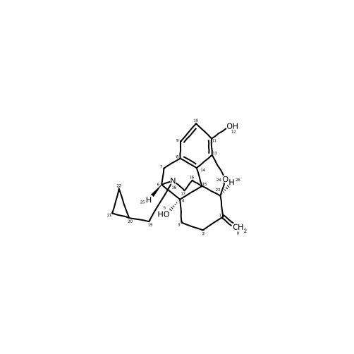 C=C1CC[C@@]2(O)[C@@H]3Cc4ccc(O)c5c4C2(CCN3CC2CC2)[C@H]1O5